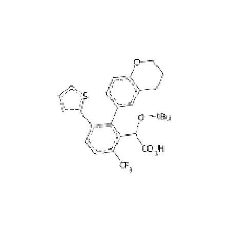 CC(C)(C)OC(C(=O)O)c1c(C(F)(F)F)ccc(-c2cccs2)c1-c1ccc2c(c1)CCCO2